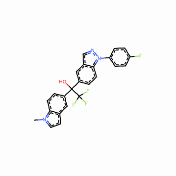 Cn1ccc2cc(C(O)(c3ccc4c(cnn4-c4ccc(F)cc4)c3)C(F)(F)F)ccc21